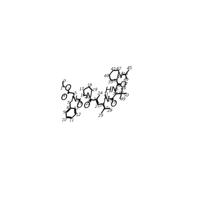 CCOC(=O)CN(Cc1ccccc1)C(=O)[C@@H]1CCCN1C(=O)/C(C)=C/C(C(C)C)N(C)C(=O)[C@@H](NC(=O)[C@H]1CCCCN1C(C)C)C(C)(C)C